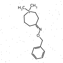 CS1(C)CCC/C(=N\OCc2ccccc2)CC1